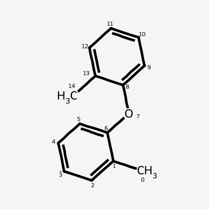 Cc1c[c]ccc1Oc1ccccc1C